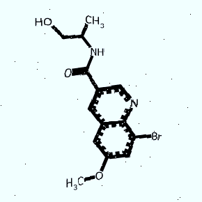 COc1cc(Br)c2ncc(C(=O)NC(C)CO)cc2c1